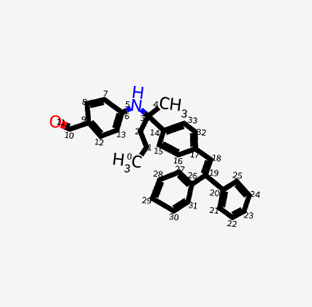 CCCC(C)(Nc1ccc(C=O)cc1)c1ccc(C=C(c2ccccc2)c2ccccc2)cc1